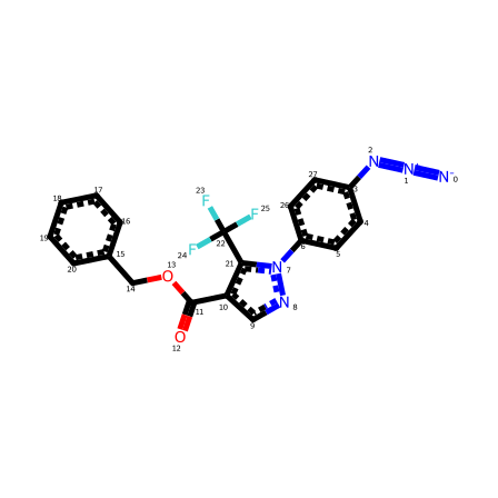 [N-]=[N+]=Nc1ccc(-n2ncc(C(=O)OCc3ccccc3)c2C(F)(F)F)cc1